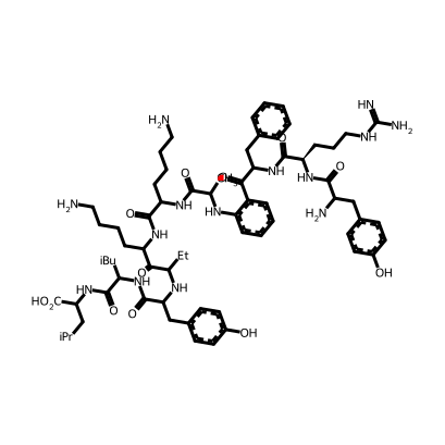 CCC(NC(Cc1ccc(O)cc1)C(=O)NC(C(=O)NC(CC(C)C)C(=O)O)C(C)CC)C(=O)C(CCCCN)NC(=O)C(CCCCN)NC(=O)C(C)Nc1ccccc1C(=O)C(Cc1ccccc1)NC(=O)[C@@H](CCCNC(=N)N)NC(=O)C(N)Cc1ccc(O)cc1